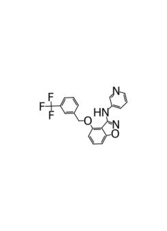 FC(F)(F)c1cccc(COc2cccc3onc(Nc4cccnc4)c23)c1